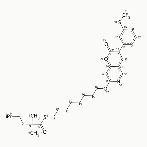 CC(C)CCC(C)(C)C(=O)SCCCCCCCCOc1cc2oc(=O)c(-c3cccc(SC(F)(F)F)c3)cc2cn1